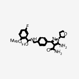 COc1ccc(F)cc1C(O)NCc1ccc(-c2nn(C3CCOC3)c(N)c2C(N)=O)cc1